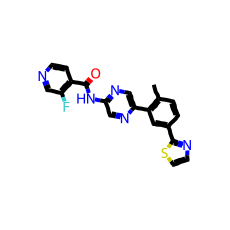 Cc1ccc(-c2nccs2)cc1-c1cnc(NC(=O)c2ccncc2F)cn1